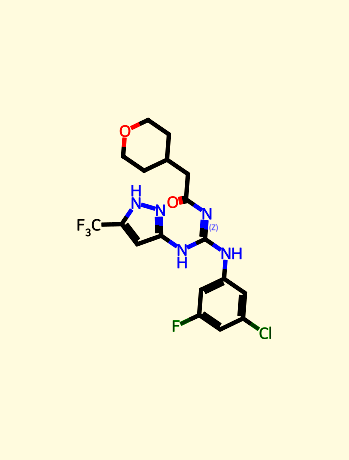 O=C(CC1CCOCC1)/N=C(/Nc1cc(F)cc(Cl)c1)Nc1cc(C(F)(F)F)[nH]n1